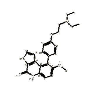 CCN(CC)CCOc1ccc(-c2c(OC)ccc3[nH]c(=O)c4sccc4c23)cc1